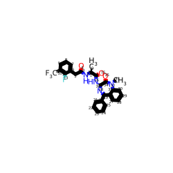 C[C@H](NC(=O)Cc1cccc(C(F)(F)F)c1F)C(=O)N[C@H]1N=C(c2ccccc2)c2ccccc2N(C)C1=O